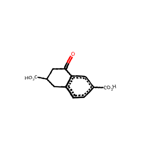 O=C(O)c1ccc2c(c1)C(=O)CC(C(=O)O)C2